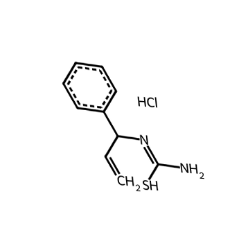 C=CC(N=C(N)S)c1ccccc1.Cl